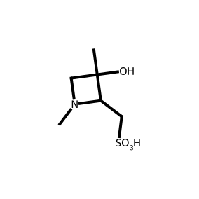 CN1CC(C)(O)C1CS(=O)(=O)O